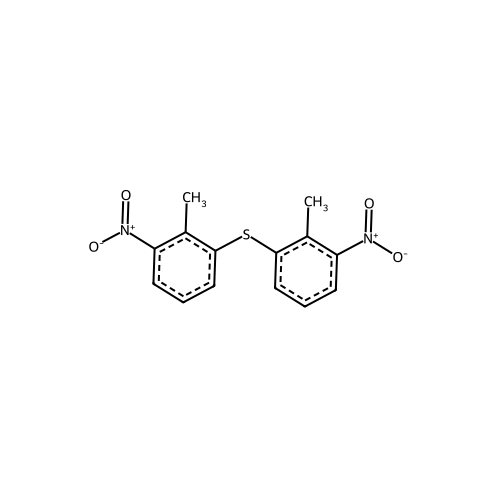 Cc1c(Sc2cccc([N+](=O)[O-])c2C)cccc1[N+](=O)[O-]